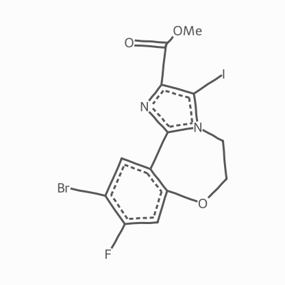 COC(=O)c1nc2n(c1I)CCOc1cc(F)c(Br)cc1-2